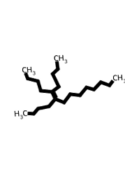 CCCCCCCCC(CCCC)=C(CCCC)CCCC